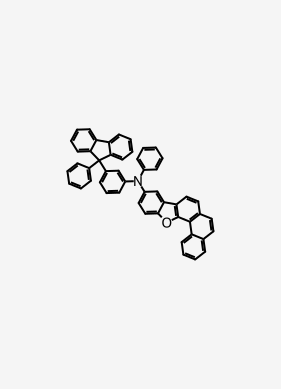 c1ccc(N(c2cccc(C3(c4ccccc4)c4ccccc4-c4ccccc43)c2)c2ccc3oc4c(ccc5ccc6ccccc6c54)c3c2)cc1